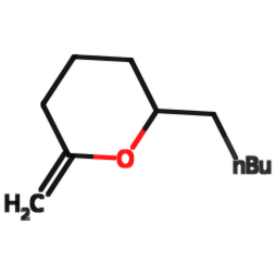 C=C1CCCC(CCCCC)O1